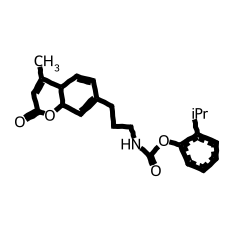 CC1=CC(=O)OC2C=C(CCCNC(=O)Oc3ccccc3C(C)C)C=CC12